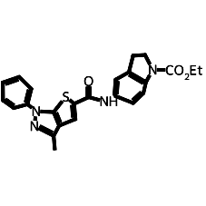 CCOC(=O)N1CCc2cc(NC(=O)c3cc4c(C)nn(-c5ccccc5)c4s3)ccc21